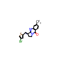 O=c1c2ccc(C(F)(F)F)cc2nc2n1CC/C2=C\c1cc(Br)cs1